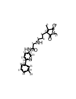 CC1=C(CCCNCC(=O)Nc2ccc(-c3cccc(C)c3)nc2)C(=O)N(C)C1=O